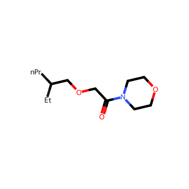 CCCC(CC)COCC(=O)N1CCOCC1